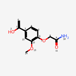 C=C(O)c1ccc(OCC(N)=O)c(OC)c1